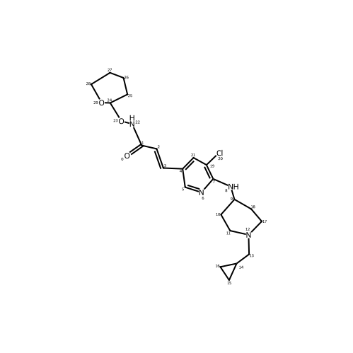 O=C(C=Cc1cnc(NC2CCN(CC3CC3)CC2)c(Cl)c1)NOC1CCCCO1